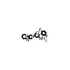 N[C@H]1C[C@@H](N2Cc3nc4n(c3C2)CCCC4)CO[C@@H]1c1cc(F)ccc1F